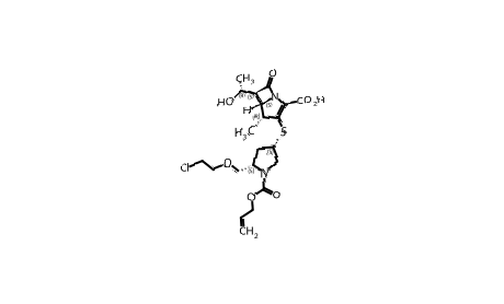 C=CCOC(=O)N1C[C@@H](SC2=C(C(=O)O)N3C(=O)[C@H]([C@@H](C)O)[C@H]3[C@H]2C)C[C@H]1COCCCl